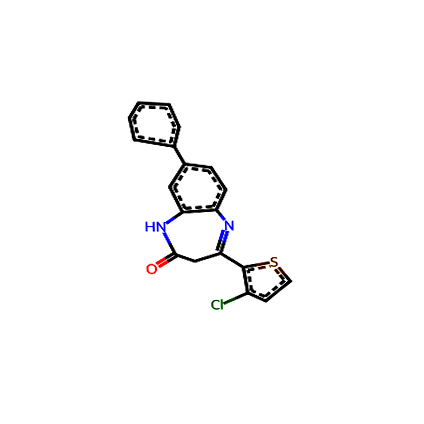 O=C1CC(c2sccc2Cl)=Nc2ccc(-c3ccccc3)cc2N1